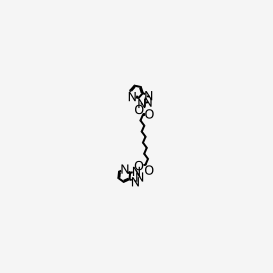 O=C(CCCCCCCCC(=O)On1nnc2cccnc21)On1nnc2cccnc21